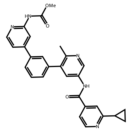 COC(=O)Nc1cc(-c2cccc(-c3cc(NC(=O)c4ccnc(C5CC5)c4)cnc3C)c2)ccn1